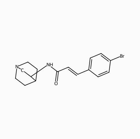 O=C(/C=C/c1ccc(Br)cc1)NC1CN2CCC1CC2